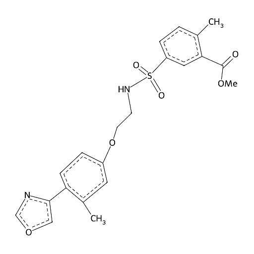 COC(=O)c1cc(S(=O)(=O)NCCOc2ccc(-c3cocn3)c(C)c2)ccc1C